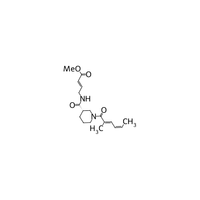 C/C=C\C=C(/C)C(=O)N1CCC[C@H](C(=O)NC/C=C/C(=O)OC)C1